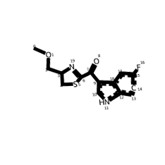 COCC1CSC(C(=O)c2c[nH]c3ccc(F)cc23)=N1